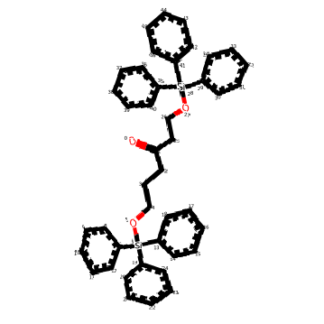 O=C(CCCO[Si](c1ccccc1)(c1ccccc1)c1ccccc1)CCO[Si](c1ccccc1)(c1ccccc1)c1ccccc1